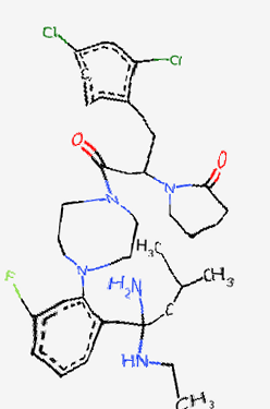 CCNC(N)(CC(C)C)c1cccc(F)c1N1CCN(C(=O)C(Cc2ccc(Cl)cc2Cl)N2CCCC2=O)CC1